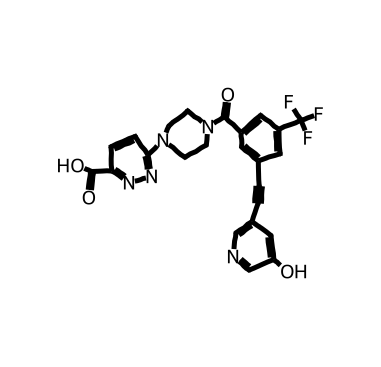 O=C(O)c1ccc(N2CCN(C(=O)c3cc(C#Cc4cncc(O)c4)cc(C(F)(F)F)c3)CC2)nn1